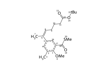 COc1c(C)cc(/C(C)=C\CCCC(=O)OC(C)(C)C)cc1C(=O)SC